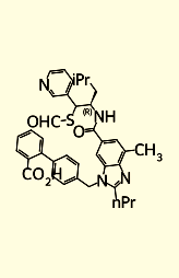 CCCc1nc2c(C)cc(C(=O)N[C@H](CC(C)C)C(SC=O)c3cccnc3)cc2n1Cc1ccc(-c2ccccc2C(=O)O)cc1